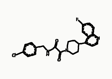 O=C(NCc1ccc(Cl)cc1)C(=O)N1CCC(c2ccnc3ccc(F)cc23)CC1